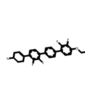 C=CCOc1ccc(-c2ccc(-c3ccc(C4=CCC(CCCC)CC4)c(F)c3F)cc2)c(F)c1F